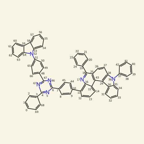 c1ccc(-c2nc(-c3ccc(-c4cccc5c4nc(-c4ccccc4)c4ccc6c(c7ccccc7n6-c6ccccc6)c45)cc3)nc(-c3ccc(-n4c5ccccc5c5ccccc54)cc3)n2)cc1